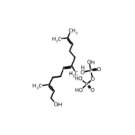 CC(C)=CCCC(C)=CCCC(C)=CCO.O=P(O)(O)OP(=O)(O)O